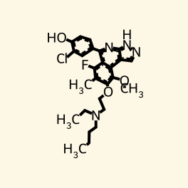 CCCCN(CC)CCOc1c(C)c(F)c2c(-c3ccc(O)c(Cl)c3)nc3[nH]ncc3c2c1OC